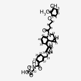 Cc1cccc(OCCCC(=O)N2C[C@H]3C[C@H]3c3c(-c4cnn(Cc5cccc(C(=O)NCS(=O)(=O)O)c5)c4)cccc32)c1C